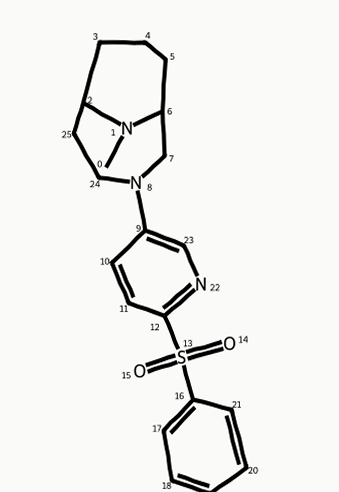 CN1C2CCCC1CN(c1ccc(S(=O)(=O)c3ccccc3)nc1)CC2